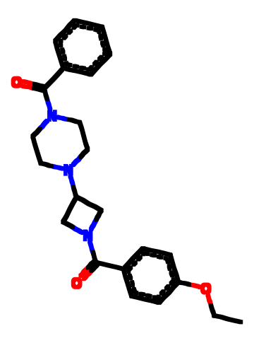 CCOc1ccc(C(=O)N2CC(N3CCN(C(=O)c4ccccc4)CC3)C2)cc1